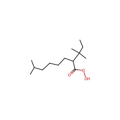 CCC(C)(C)C(CCCCC(C)C)C(=O)OO